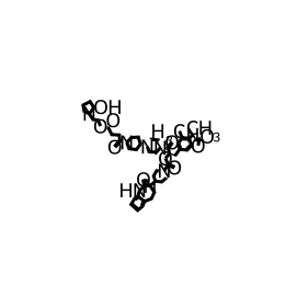 Cc1cc(C[C@@H](OC(=O)N2CCC(N3CCc4ccccc4NC3=O)CC2)C(=O)N2CCN(C3CCN(C(=O)CCC(=O)OCCN4CCCC4O)CC3)CC2)cc2oc(=O)n(C)c12